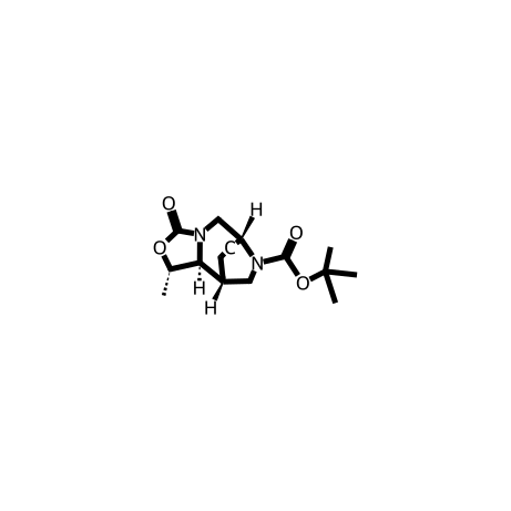 C[C@@H]1OC(=O)N2C[C@H]3CC[C@H](CN3C(=O)OC(C)(C)C)[C@@H]12